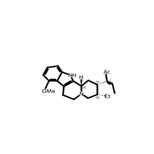 C/C=C(/C(C)=O)[C@H]1C[C@H]2c3[nH]c4cccc(OC)c4c3CCN2C[C@H]1CC